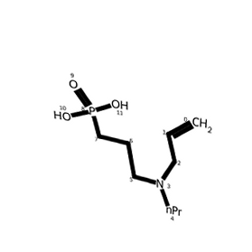 C=CCN(CCC)CCCP(=O)(O)O